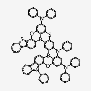 c1ccc(N(c2ccccc2)c2cc3c4c(c2)Sc2cc5c(cc2B4c2ccc4c(sc6ccccc64)c2O3)B2c3ccc4c6ccccc6n(-c6ccccc6)c4c3Oc3cc(N(c4ccccc4)c4ccccc4)cc(c32)N5c2ccccc2)cc1